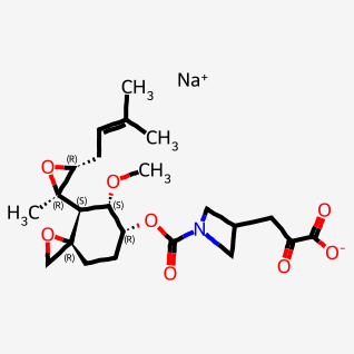 CO[C@@H]1[C@H](OC(=O)N2CC(CC(=O)C(=O)[O-])C2)CC[C@]2(CO2)[C@H]1[C@@]1(C)O[C@@H]1CC=C(C)C.[Na+]